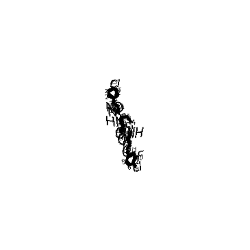 O=C(COc1ccc(Cl)c(F)c1)N[Si@H]1CC[C@H](c2nnc(-c3ccc(Cl)cc3)o2)NC1=O